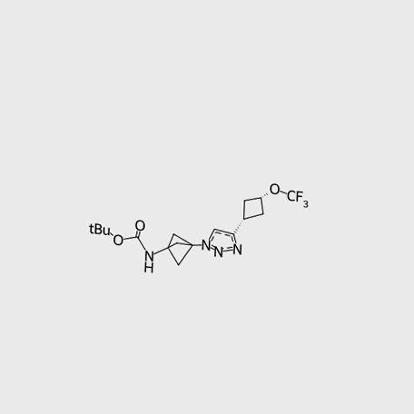 CC(C)(C)OC(=O)NC12CC(n3cc([C@H]4C[C@@H](OC(F)(F)F)C4)nn3)(C1)C2